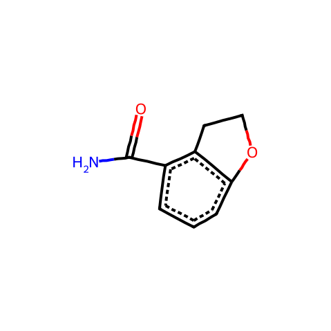 NC(=O)c1cccc2c1CCO2